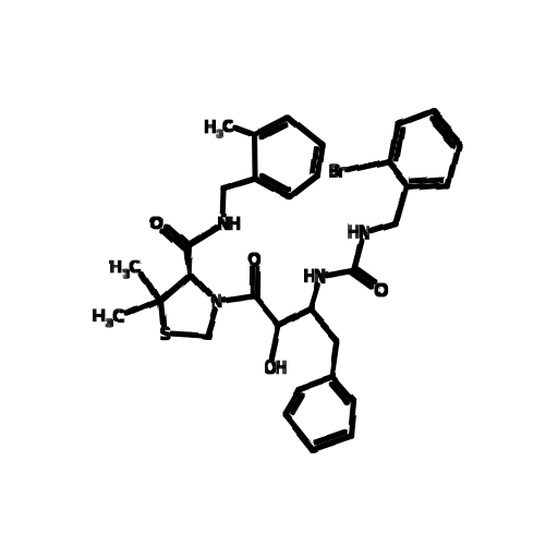 Cc1ccccc1CNC(=O)[C@H]1N(C(=O)C(O)C(Cc2ccccc2)NC(=O)NCc2ccccc2Br)CSC1(C)C